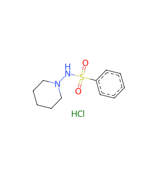 Cl.O=S(=O)(NN1CCCCC1)c1ccccc1